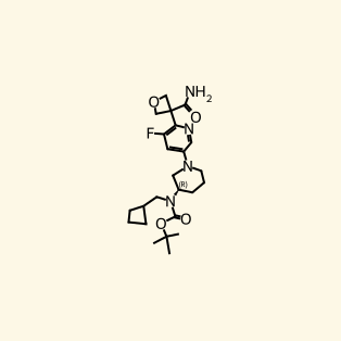 CC(C)(C)OC(=O)N(CC1CCC1)[C@@H]1CCCN(c2cnc(C3(C(N)=O)COC3)c(F)c2)C1